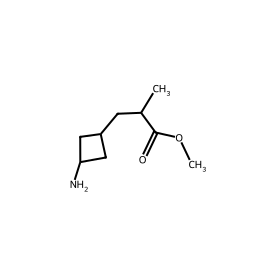 COC(=O)C(C)CC1CC(N)C1